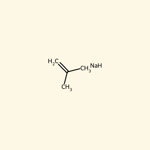 C=C(C)C.[NaH]